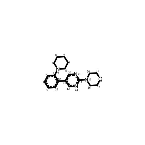 c1ccc(N2CCCCC2)c(-c2cnc(N3CCOCC3)nc2)c1